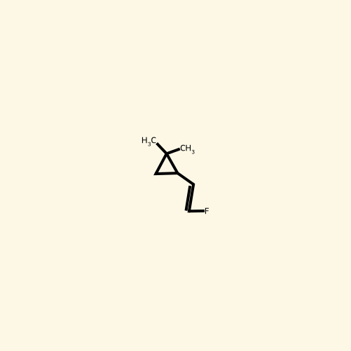 CC1(C)CC1C=CF